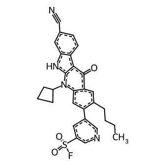 CCCCc1cc2c(=O)c3c4ccc(C#N)cc4[nH]c3n(C3CCC3)c2cc1-c1cncc(S(=O)(=O)F)c1